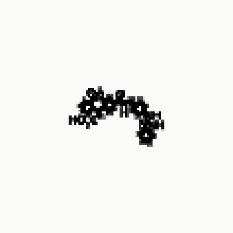 CN1C(=O)c2ccccc2C(CC(=O)O)c2ccc(C(=O)NCc3ccc(Nc4nc5ccccc5[nH]4)cc3)cc21